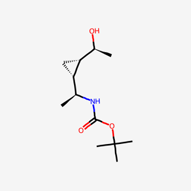 C[C@H](O)[C@H]1C[C@H]1[C@H](C)NC(=O)OC(C)(C)C